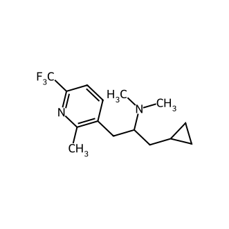 Cc1nc(C(F)(F)F)ccc1CC(CC1CC1)N(C)C